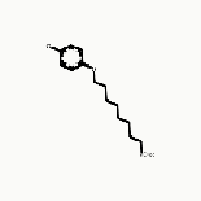 CCCCCCCCCCCCCCCCCCOc1ccc([O])cc1